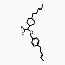 C/C=C/CCc1ccc(COC(C(F)F)C2CCC(CC/C=C/C)CC2)cc1